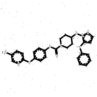 O=C(Oc1ccc(Oc2ccc(C(F)(F)F)cn2)cc1)N1CCC(On2nccc2Sc2ccccc2)CC1